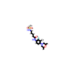 CCc1c(N2CC(C)OC(C)C2)ccc(NC(=O)CCCCNS(=O)(=O)C(C)C)c1F